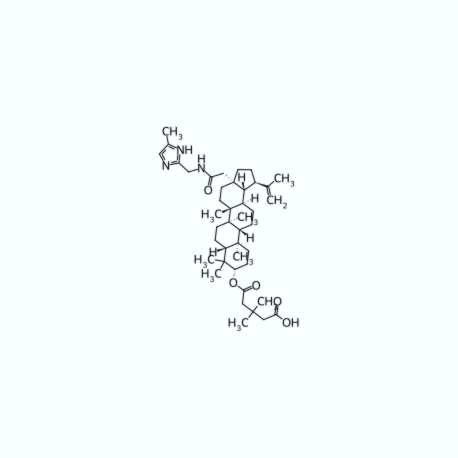 C=C(C)[C@@H]1CC[C@]2(CC(=O)NCc3ncc(C)[nH]3)CC[C@]3(C)[C@H](CC[C@@H]4[C@@]5(C)CC[C@H](OC(=O)CC(C)(C)CC(=O)O)C(C)(C)[C@@H]5CC[C@]43C)[C@@H]12